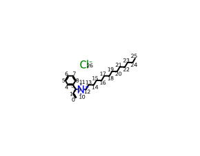 C=CC(c1ccccc1)[N+](C)(C)CCCCCCCCCCCCCC.[Cl-]